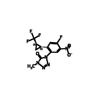 Cn1nnn(-c2cc([N+](=O)[O-])c(F)cc2[C@@H]2C[C@H]2C(F)(F)F)c1=O